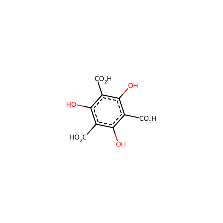 O=C(O)c1c(O)c(C(=O)O)c(O)c(C(=O)O)c1O